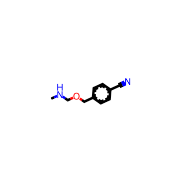 CNCOCc1ccc(C#N)cc1